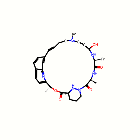 CC(=O)N1CC/C=C/c2ccc3ccc(nc3c2)[C@@H](C)OC(=O)[C@@H]2CCCN(N2)C(=O)[C@H](C)NC(=O)[C@H](C(C)C)NC(O)CC1